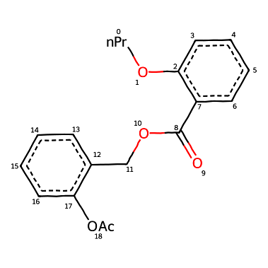 CCCOc1ccccc1C(=O)OCc1ccccc1OC(C)=O